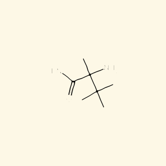 CC(C)(C)C(C)(N)C(N)=O